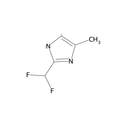 CC1=[C][N]C(C(F)F)=N1